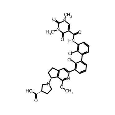 COc1nc(-c2cccc(-c3cccc(NC(=O)c4cn(C)c(=O)n(C)c4=O)c3Cl)c2Cl)cc2c1[C@@H](N1CC[C@H](C(=O)O)C1)CC2